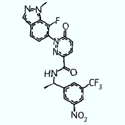 C[C@@H](NC(=O)c1ccc(=O)n(-c2ccc3cnn(C)c3c2F)n1)c1cc([N+](=O)[O-])cc(C(F)(F)F)c1